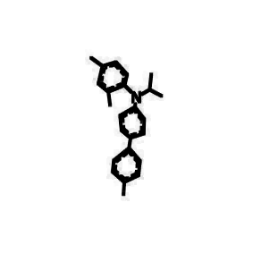 Cc1ccc(-c2ccc(N(c3ccc(C)cc3C)C(C)C)cc2)cc1